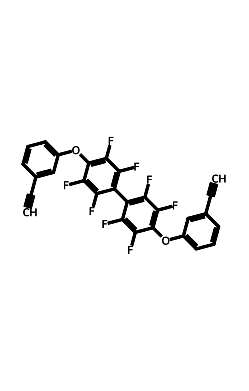 C#Cc1cccc(Oc2c(F)c(F)c(-c3c(F)c(F)c(Oc4cccc(C#C)c4)c(F)c3F)c(F)c2F)c1